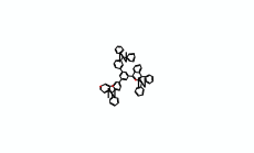 c1ccc(N(c2ccccc2)c2cccc(-c3cc(-c4ccc5c(c4)c4ccccc4n5-c4ccccc4)cc(-c4cc5c(c6ccccc46)c4ccccc4n5-c4ccccc4)c3)c2)cc1